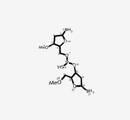 BC1CC(OC)C(COP(S)OC2CC(B)OC2COC)O1